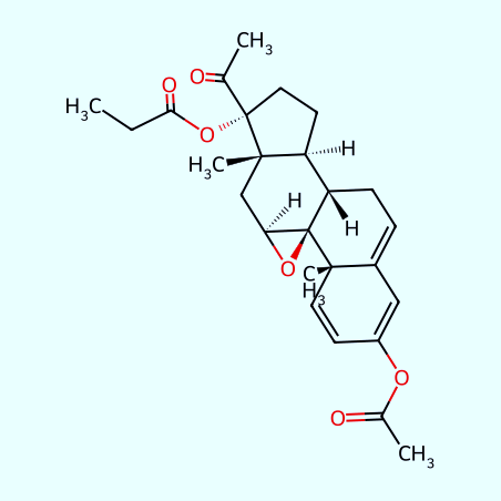 CCC(=O)O[C@]1(C(C)=O)CC[C@H]2[C@@H]3CC=C4C=C(OC(C)=O)C=C[C@]4(C)[C@@]34O[C@H]4C[C@@]21C